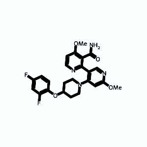 COc1cc(N2CCC(Oc3ccc(F)cc3F)CC2)c(-c2nccc(OC)c2C(N)=O)cn1